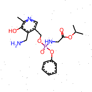 Cc1ncc(COP(=O)(NCC(=O)OC(C)C)Oc2ccccc2)c(CN)c1O